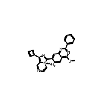 COc1nc(-c2ccccc2)nc2cc(C3=NC(C4=CC=C4)=C4C=NC=C[N+]34N)ccc12